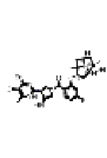 CCC1=N/C(=C2\CN(C(=O)c3ccc(F)cc3O[C@@H]3C[C@H]4N5[C@@H](CC35C)C[C@@]4(C)O)CC2=N)NC(C)=C1Cl